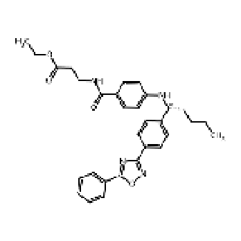 CCCC[C@@H](Nc1ccc(C(=O)NCCC(=O)OCC)cc1)c1ccc(-c2noc(-c3ccccc3)n2)cc1